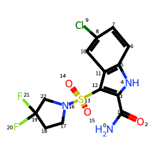 NC(=O)c1[nH]c2ccc(Cl)cc2c1S(=O)(=O)N1CCC(F)(F)C1